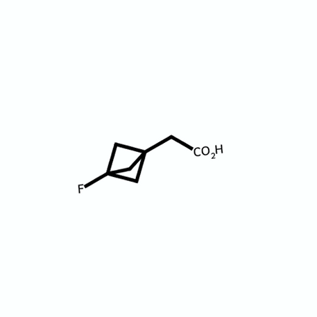 O=C(O)CC12CC(F)(C1)C2